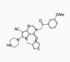 COc1cccc(C(=O)Cn2cnc3c(C#N)c(N4CCNCC4)n(Cc4cscn4)c3c2=O)c1